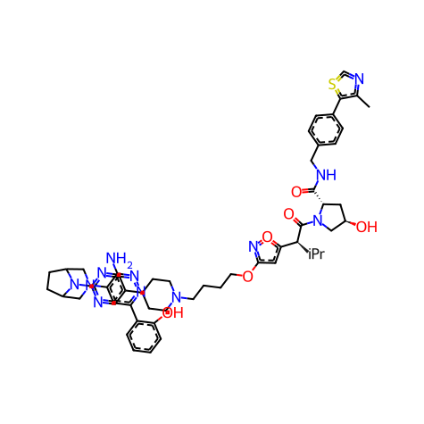 Cc1ncsc1-c1ccc(CNC(=O)[C@@H]2C[C@@H](O)CN2C(=O)[C@H](c2cc(OCCCCN3CCC(c4cnc(N5C6CCC5CN(c5cc(-c7ccccc7O)nnc5N)C6)nc4)CC3)no2)C(C)C)cc1